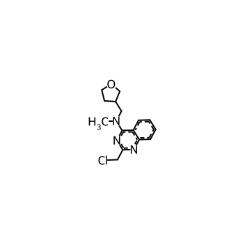 CN(CC1CCOC1)c1nc(CCl)nc2ccccc12